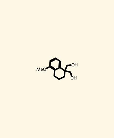 COc1cccc2c1CCCC2(CO)CO